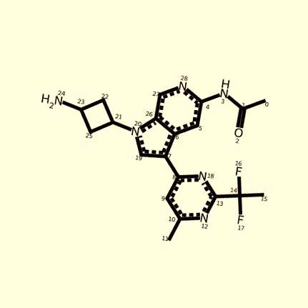 CC(=O)Nc1cc2c(-c3cc(C)nc(C(C)(F)F)n3)cn(C3CC(N)C3)c2cn1